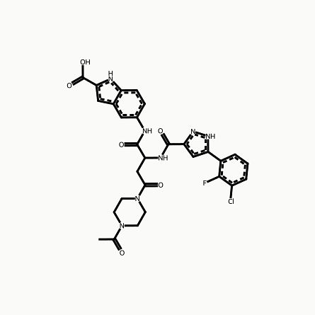 CC(=O)N1CCN(C(=O)CC(NC(=O)c2cc(-c3cccc(Cl)c3F)[nH]n2)C(=O)Nc2ccc3[nH]c(C(=O)O)cc3c2)CC1